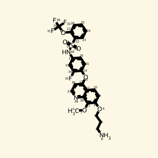 COc1c(OCCCN)ccc2c(Oc3ccc(NS(=O)(=O)c4ccccc4OC(F)(F)F)cc3F)ccnc12